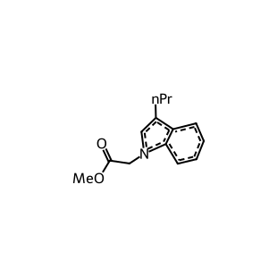 CCCc1cn(CC(=O)OC)c2ccccc12